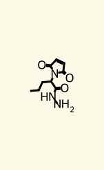 CCCC(C(=O)NN)N1C(=O)C=CC1=O